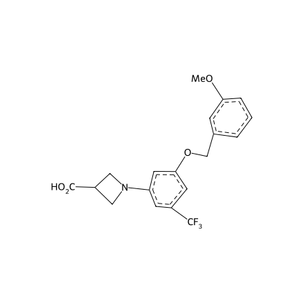 COc1cccc(COc2cc(N3CC(C(=O)O)C3)cc(C(F)(F)F)c2)c1